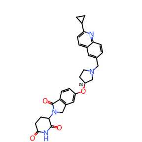 O=C1CCC(N2Cc3cc(O[C@H]4CCN(Cc5ccc6nc(C7CC7)ccc6c5)C4)ccc3C2=O)C(=O)N1